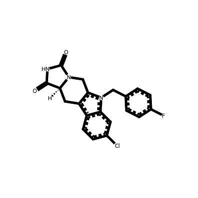 O=C1NC(=O)N2Cc3c(c4ccc(Cl)cc4n3Cc3ccc(F)cc3)C[C@@H]12